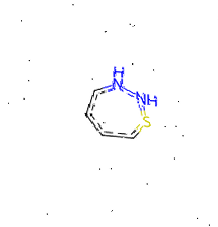 c1ccs[nH][nH]c1